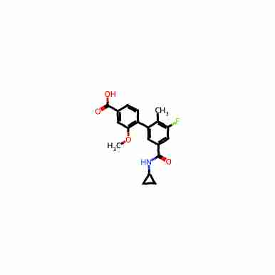 COc1cc(C(=O)O)ccc1-c1cc(C(=O)NC2CC2)cc(F)c1C